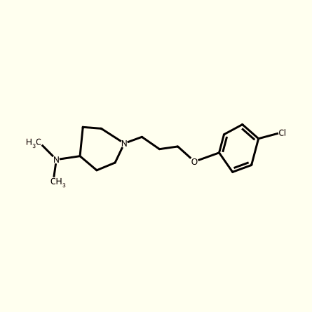 CN(C)C1CCN(CCCOc2ccc(Cl)cc2)CC1